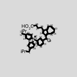 CC(C)Cc1ccc([N+](C)(c2ccc(CC(C)C)cc2)c2cccc(C(=O)c3cc(CCCC(=O)O)c4cccccc3-4)c2)cc1